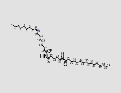 CCCCCCCC/C=C\CCCCCCCC(=O)N[C@H](C)CCCCNC(=O)CCCCCCCCCCCCCCC